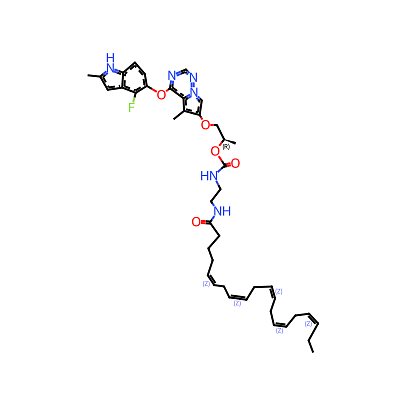 CC/C=C\C/C=C\C/C=C\C/C=C\C/C=C\CCCC(=O)NCCNC(=O)O[C@H](C)COc1cn2ncnc(Oc3ccc4[nH]c(C)cc4c3F)c2c1C